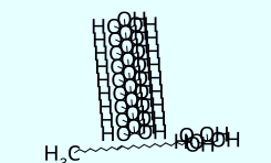 CCCCCCCCC=CCCCCCCCCCCCC(=O)O.OCC(O)CO.OCC(O)CO.OCC(O)CO.OCC(O)CO.OCC(O)CO.OCC(O)CO.OCC(O)CO.OCC(O)CO.OCC(O)CO.OCC(O)CO